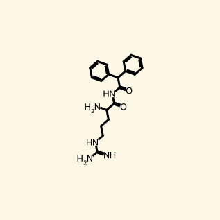 N=C(N)NCCCC(N)C(=O)NC(=O)C(c1ccccc1)c1ccccc1